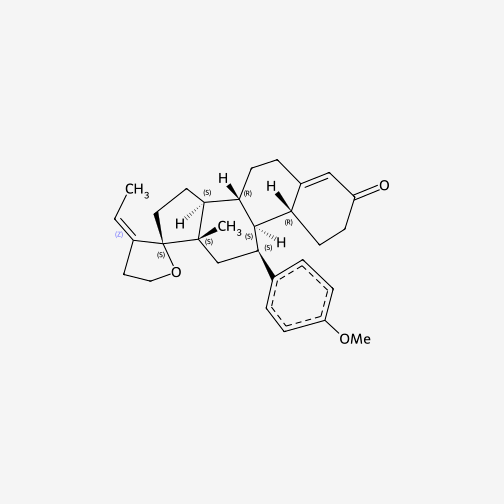 C/C=C1/CCO[C@]12CC[C@H]1[C@@H]3CCC4=CC(=O)CC[C@@H]4[C@H]3[C@@H](c3ccc(OC)cc3)C[C@@]12C